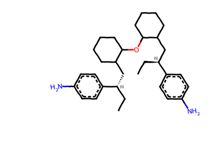 CC[C@@H](CC1CCCCC1OC1CCCCC1C[C@H](CC)c1ccc(N)cc1)c1ccc(N)cc1